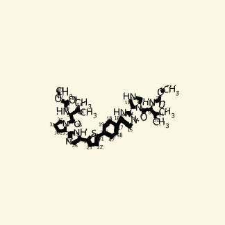 COC(=O)N[C@H](C(=O)N1CNC[C@H]1c1ncc(-c2ccc(-c3ccc(-c4cnc([C@@H]5CCCN5C(=O)[C@@H](NC(=O)OC)C(C)C)[nH]4)s3)cc2)[nH]1)C(C)C